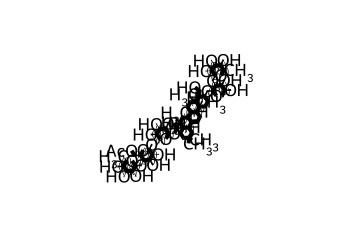 CC(=O)OC[C@H]1O[C@@H](OC[C@H]2O[C@@H](OC(=O)[C@]34CCC(C)(C)C[C@H]3C3=CC[C@@H]5[C@@]6(C)CC[C@H](O[C@@H]7OC[C@H](O)[C@H](O)[C@H]7O[C@@H]7O[C@@H](C)[C@H](O)[C@@H](O)[C@H]7O)[C@@](C)(CO)[C@@H]6CC[C@@]5(C)[C@]3(C)CC4)[C@H](O)[C@@H](O)[C@@H]2O)[C@H](O)[C@@H](O)[C@@H]1O[C@@H]1O[C@@H](C)[C@H](O)[C@@H](O)[C@H]1O